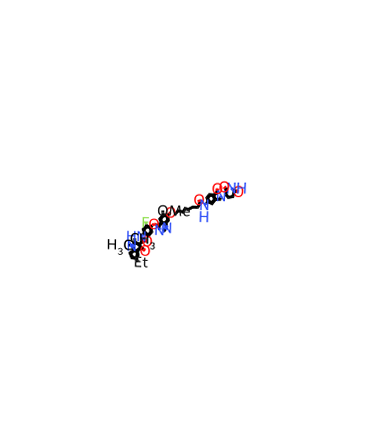 CCc1ccc2c(c1)c(=O)c(C(=O)Nc1ccc(Oc3ncnc4cc(OCCCCCCCC(=O)Nc5ccc6c(c5)CN(C5CCC(=O)NC5=O)C6=O)c(OC)cc34)c(F)c1)c(C)n2C